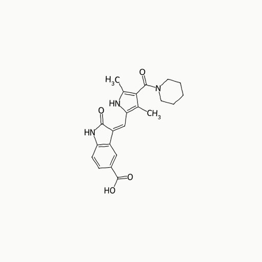 Cc1[nH]c(C=C2C(=O)Nc3ccc(C(=O)O)cc32)c(C)c1C(=O)N1CCCCC1